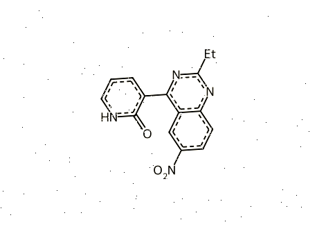 CCc1nc(-c2ccc[nH]c2=O)c2cc([N+](=O)[O-])ccc2n1